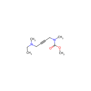 CCN(C)CC#CCN(C)C(=O)OC